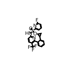 O=S(=O)(Nc1ccc(C(F)(F)F)c(-c2ccccc2C2CC2)n1)c1cccc(F)n1